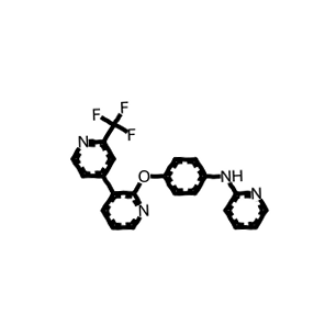 FC(F)(F)c1cc(-c2cccnc2Oc2ccc(Nc3ccccn3)cc2)ccn1